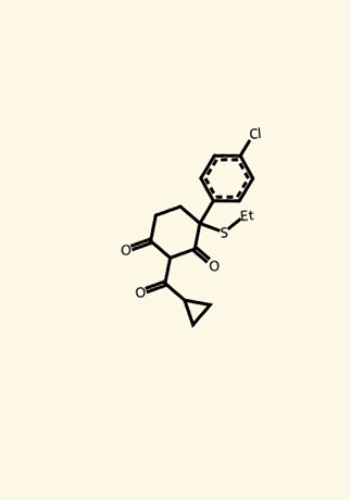 CCSC1(c2ccc(Cl)cc2)CCC(=O)C(C(=O)C2CC2)C1=O